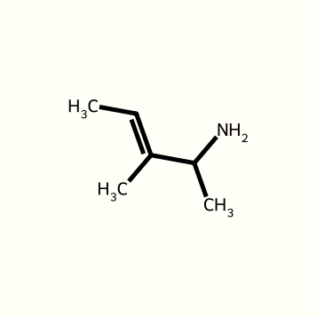 C/C=C(\C)C(C)N